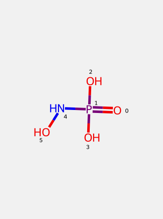 O=P(O)(O)NO